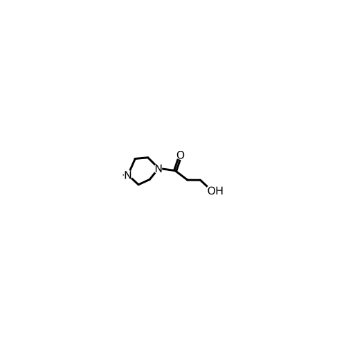 O=C(CCO)N1CC[N]CC1